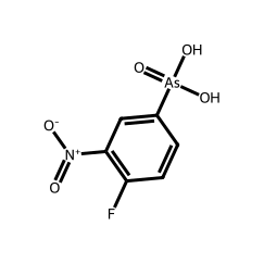 O=[N+]([O-])c1cc([As](=O)(O)O)ccc1F